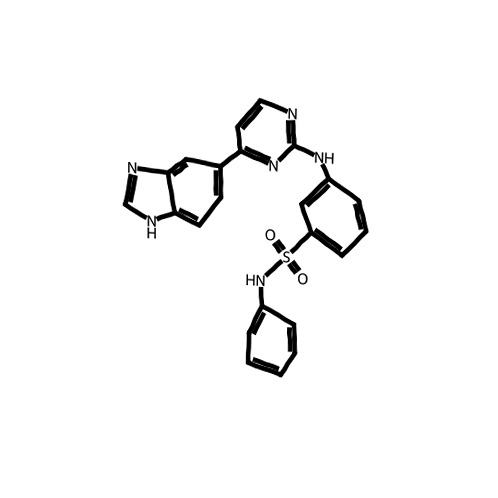 O=S(=O)(Nc1ccccc1)c1cccc(Nc2nccc(-c3ccc4[nH]cnc4c3)n2)c1